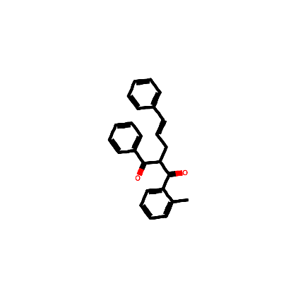 Cc1ccccc1C(=O)C(CC=Cc1ccccc1)C(=O)c1ccccc1